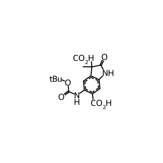 CC(C)(C)OC(=O)Nc1cc2c(cc1C(=O)O)NC(=O)C2(C)C(=O)O